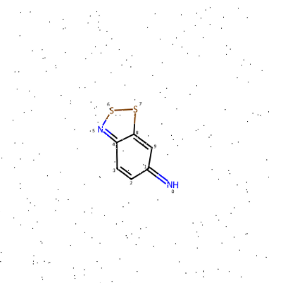 N=c1ccc2nssc-2c1